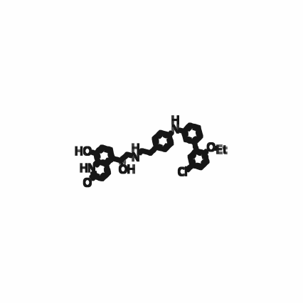 CCOc1ccc(Cl)cc1-c1cccc(Nc2ccc(CCNC[C@H](O)c3ccc(O)c4[nH]c(=O)ccc34)cc2)c1